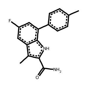 Cc1ccc(-c2cc(F)cc3c(C)c(C(N)=O)[nH]c23)cc1